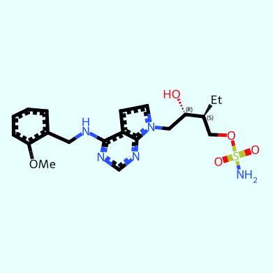 CC[C@@H](COS(N)(=O)=O)[C@@H](O)Cn1ccc2c(NCc3ccccc3OC)ncnc21